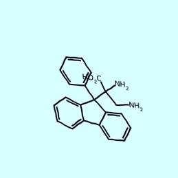 NCC(N)(C(=O)O)C1(c2ccccc2)c2ccccc2-c2ccccc21